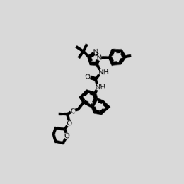 Cc1ccc(-n2nc(C(C)(C)C)cc2NC(=O)Nc2ccc(CCC(C)OC3CCCCO3)c3ccccc23)cc1